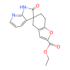 CCOC(=O)c1cc2c(o1)CCC1(C2)C(=O)Nc2ncccc21